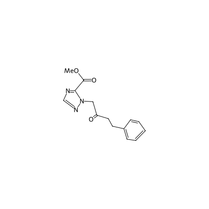 COC(=O)c1ncnn1CC(=O)CCc1ccccc1